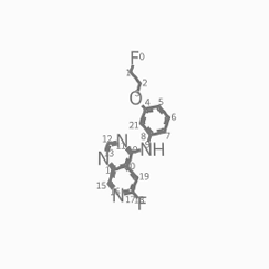 FCCOc1cccc(Nc2ncnc3cnc(F)cc23)c1